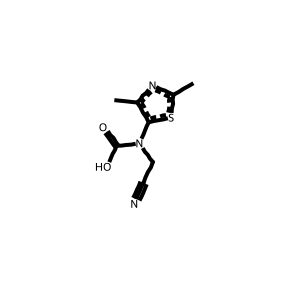 Cc1nc(C)c(N(CC#N)C(=O)O)s1